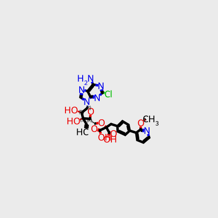 C#C[C@@]1(O)[C@@H](COC(Cc2ccc(-c3cccnc3OC)cc2)(C(=O)O)C(=O)O)O[C@@H](n2cnc3c(N)nc(Cl)nc32)[C@@H]1O